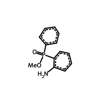 COP(=O)(c1ccccc1)c1ccccc1N